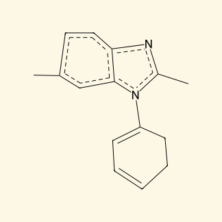 Cc1ccc2nc(C)n(C3=CC=CCC3)c2c1